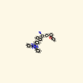 N#Cc1cc(-c2ccc(-c3cccc4c3oc3ccccc34)cc2)cc(-c2ccc(-c3ccc(-c4nc(-c5ccccc5)nc(-c5ccccc5)n4)cc3)c3ccccc23)c1